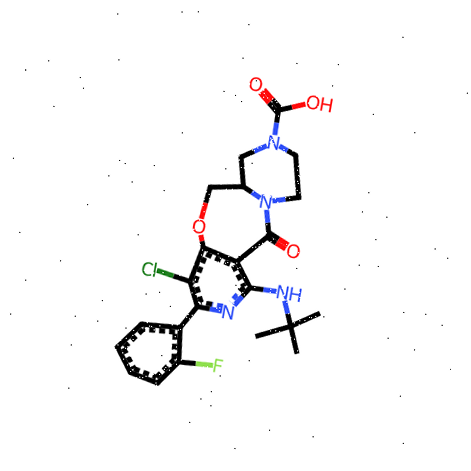 CC(C)(C)Nc1nc(-c2ccccc2F)c(Cl)c2c1C(=O)N1CCN(C(=O)O)CC1CO2